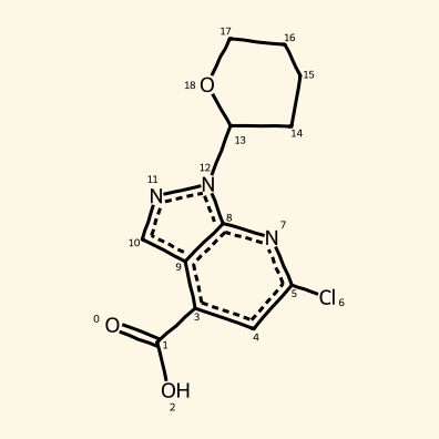 O=C(O)c1cc(Cl)nc2c1cnn2C1CCCCO1